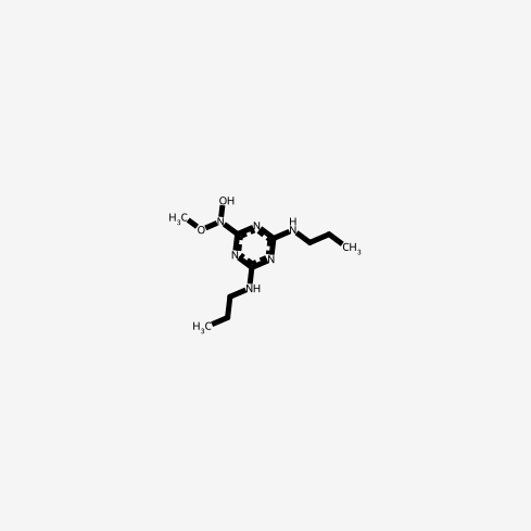 CCCNc1nc(NCCC)nc(N(O)OC)n1